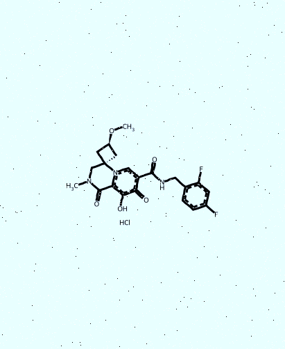 CO[C@H]1C[C@]2(CN(C)C(=O)c3c(O)c(=O)c(C(=O)NCc4ccc(F)cc4F)cn32)C1.Cl